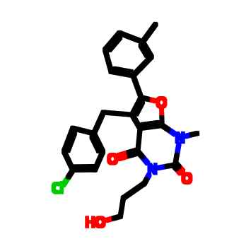 Cc1cccc(-c2oc3c(c2Cc2ccc(Cl)cc2)c(=O)n(CCCO)c(=O)n3C)c1